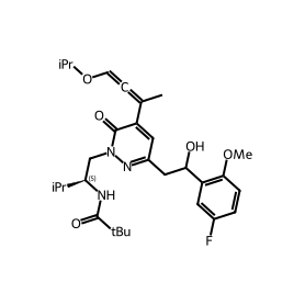 COc1ccc(F)cc1C(O)Cc1cc(C(C)=C=COC(C)C)c(=O)n(C[C@@H](NC(=O)C(C)(C)C)C(C)C)n1